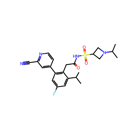 CC(C)c1cc(F)cc(-c2ccnc(C#N)c2)c1CC(=O)NS(=O)(=O)C1CN(C(C)C)C1